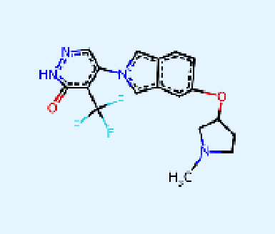 CN1CCC(Oc2ccc3cn(-c4cn[nH]c(=O)c4C(F)(F)F)cc3c2)C1